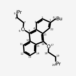 CCC(C)c1ccc2c(OCCC(C)C)c3ccccc3c(OCCC(C)C)c2c1